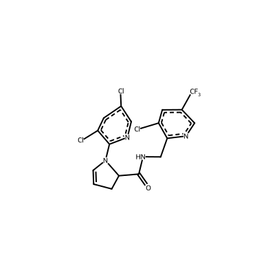 O=C(NCc1ncc(C(F)(F)F)cc1Cl)C1CC=CN1c1ncc(Cl)cc1Cl